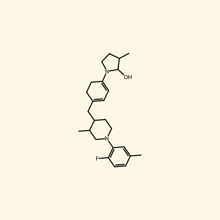 Cc1ccc(F)c(N2CCC(CC3=CC=C(N4CCC(C)C4O)CC3)C(C)C2)c1